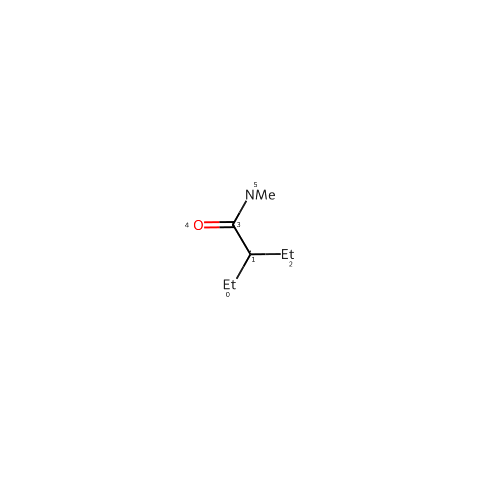 CC[C](CC)C(=O)NC